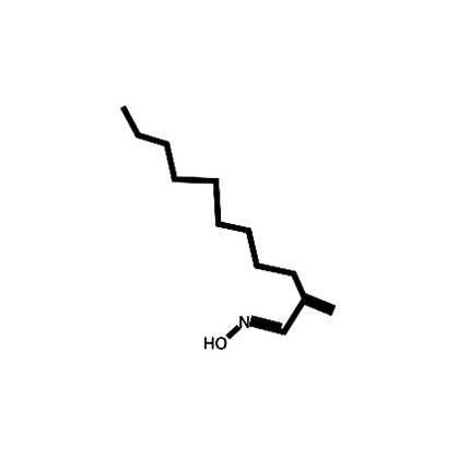 C=C(C=NO)CCCCCCCCC